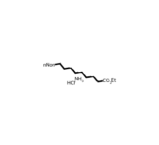 CCCCCCCCCCCCCCCCCC(=O)OCC.Cl.N